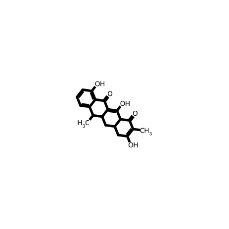 CC1=C(O)CC2CC3C(=C(O)C2C1=O)C(=O)c1c(O)cccc1C3C